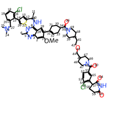 COc1cc2nc(C)nc(N[C@H](C)c3cc(-c4c(Cl)cccc4CN(C)C)cs3)c2cc1C1=CCC(C(=O)N2CCC(CCOCC3CCN(C(=O)c4ccc(Cl)c(C5CCC(=O)NC5=O)c4)CC3)CC2)CC1